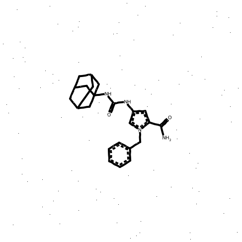 NC(=O)c1cc(NC(=O)NC23CC4CC(CC(C4)C2)C3)cn1Cc1ccccc1